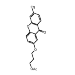 CC(=O)OCCCOc1ccc2oc3cc(C#N)ccc3c(=O)c2c1